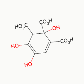 O=C(O)C1=CC(O)=C(O)C(C(=O)O)C1(O)C(=O)O